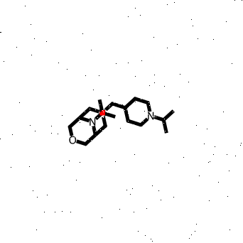 CC(C)N1CCC(CN2CC3COCC(C2)N3C(C)C)CC1